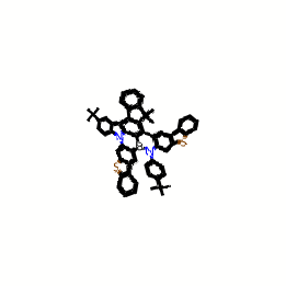 CC(C)(C)c1ccc(N2B3c4cc5c(cc4-n4c6ccc(C(C)(C)C)cc6c6c7c(c(c3c64)-c3cc4c(cc32)sc2ccccc24)C(C)(C)c2ccccc2-7)sc2ccccc25)cc1